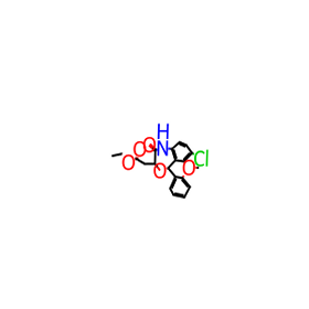 CCOC(=O)CC1OC(c2ccccc2OC)c2cc(Cl)ccc2NC1=O